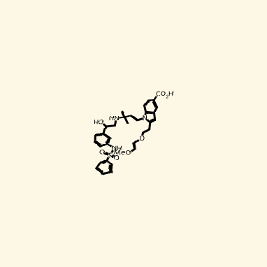 COCCOCCc1cc2cc(C(=O)O)ccc2n1CCC(C)(C)NCC(O)c1cccc(NS(=O)(=O)c2ccccc2)c1